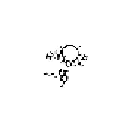 COCCOc1cnc(O[C@@H]2C[C@H]3C(=O)N[C@]4(C(=O)NS(=O)(=O)C5(C)CC5)C[C@H]4C=CCC[C@H](C)C[C@@H](C)[C@H](N(C(=O)O)C4COC4)C(=O)N3C2)c2ccc(OC)cc12